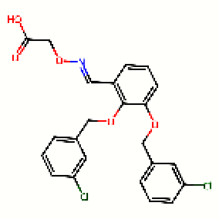 O=C(O)CO/N=C/c1cccc(OCc2cccc(Cl)c2)c1OCc1cccc(Cl)c1